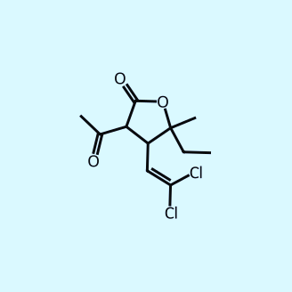 CCC1(C)OC(=O)C(C(C)=O)C1C=C(Cl)Cl